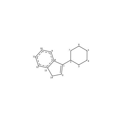 C1=C(C2CCCCC2)c2ccccc2C1